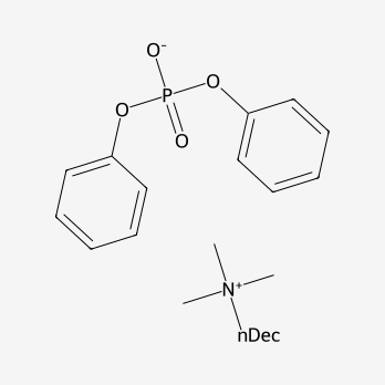 CCCCCCCCCC[N+](C)(C)C.O=P([O-])(Oc1ccccc1)Oc1ccccc1